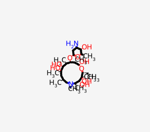 CC[C@H]1OC(O)[C@H](C)[C@@H](O[C@H]2CC(N)[C@H](O)C(C)O2)[C@H](C)[C@@H](O)[C@](C)(O)C[C@@H](C)CN(C)[C@H](C)[C@@H](O)[C@]1(C)O